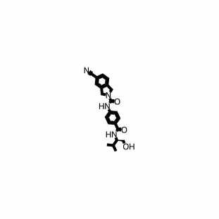 CC(C)[C@H](CO)NC(=O)c1ccc(NC(=O)N2Cc3ccc(C#N)cc3C2)cc1